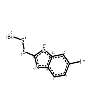 CCC(C)SSc1nc2ccc(I)cc2s1